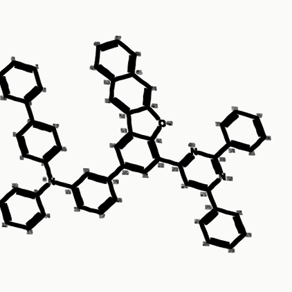 c1ccc(-c2ccc(N(c3ccccc3)c3cccc(-c4cc(-c5cc(-c6ccccc6)nc(-c6ccccc6)n5)c5oc6cc7ccccc7cc6c5c4)c3)cc2)cc1